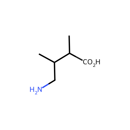 CC(CN)C(C)C(=O)O